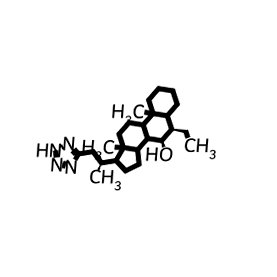 CC[C@@H]1C2CCCCC2(C)C2CCC3(C)C(CCC3[C@H](C)Cc3nn[nH]n3)C2[C@@H]1O